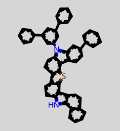 c1ccc(-c2cc(-c3ccccc3)cc(-n3c4cc(-c5ccccc5)ccc4c4c5sc6c(ccc7[nH]c8c9ccccc9ccc8c76)c5ccc43)c2)cc1